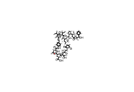 CC[C@H](C)[C@@H]([C@@H](CC(=O)N1CCC[C@H]1[C@H](OC)[C@@H](C)C(=O)N[C@H](C)[C@@H](O)c1ccccc1)OC)N(C)C(=O)[C@@H](NC(=O)[C@H](C(C)C)N(C)C(=O)OCc1ccc(NC(=O)[C@H](CC(C)C)NC(=O)[C@H](CCC(=O)O)NC(=O)[C@@H](NC(=O)CCN2C(=O)C=CC2=O)C(C)O)cc1)C(C)C